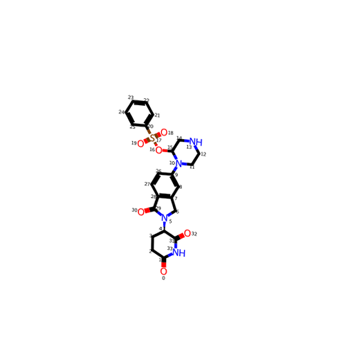 O=C1CC[C@@H](N2Cc3cc(N4CCNCC4OS(=O)(=O)c4ccccc4)ccc3C2=O)C(=O)N1